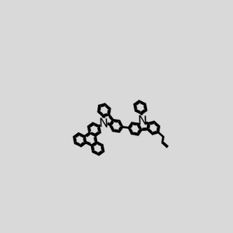 C=CCc1ccc2c(c1)c1ccc(-c3ccc4c(c3)c3ccccc3n4-c3ccc4c5ccccc5c5ccccc5c4c3)cc1n2-c1ccccc1